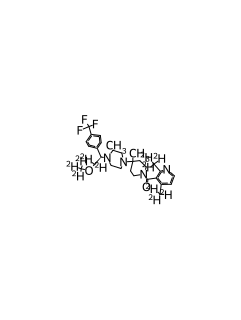 [2H]C([2H])([2H])OC([2H])([2H])[C@@H](c1ccc(C(F)(F)F)cc1)N1CCN(C2(C)CCN(C(=O)c3c(C([2H])([2H])[2H])ccnc3C([2H])([2H])[2H])CC2)C[C@@H]1C